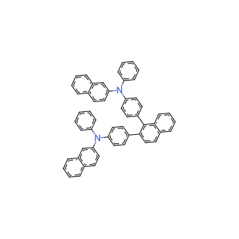 c1ccc(N(c2ccc(-c3ccc4ccccc4c3-c3ccc(N(c4ccccc4)c4ccc5ccccc5c4)cc3)cc2)c2ccc3ccccc3c2)cc1